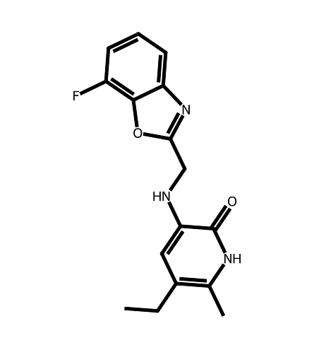 CCc1cc(NCc2nc3cccc(F)c3o2)c(=O)[nH]c1C